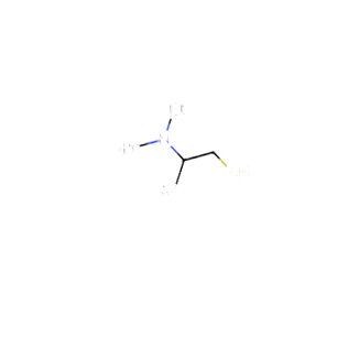 CCN(C(C)C)C(CS)C(C)=O